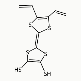 C=CC1=C(C=C)SC(=C2SC(S)=C(S)S2)S1